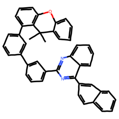 CC1(C)c2ccccc2Oc2cccc(-c3cccc(-c4cccc(-c5nc(-c6ccc7ccccc7c6)c6ccccc6n5)c4)c3)c21